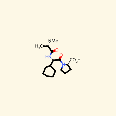 CN[C@@H](C)C(=O)N[C@H](C(=O)N1CCC[C@H]1C(=O)O)C1CCCCC1